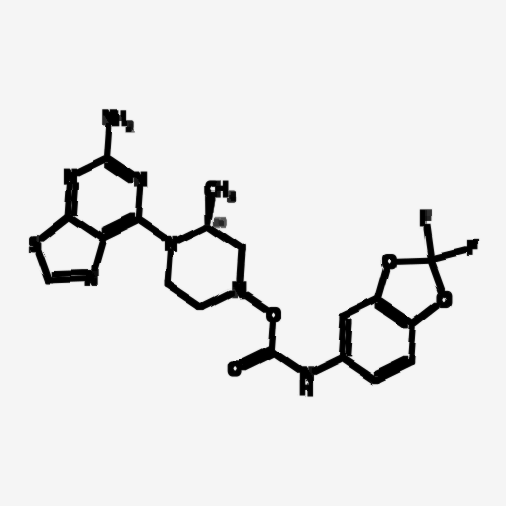 C[C@H]1CN(OC(=O)Nc2ccc3c(c2)OC(F)(F)O3)CCN1c1nc(N)nc2scnc12